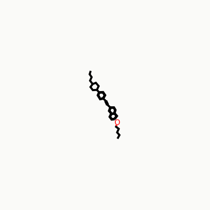 CCCCCOc1ccc2cc(C#Cc3ccc(C4CCC(CCCC)CC4)cc3)ccc2c1